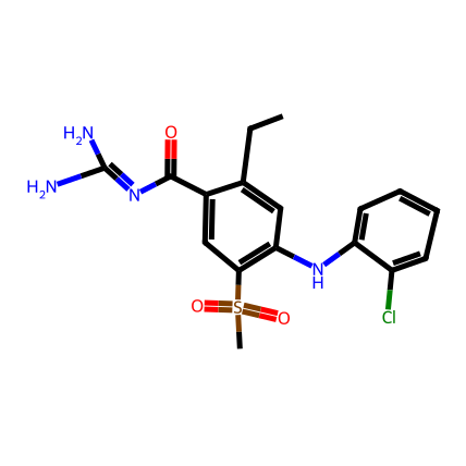 CCc1cc(Nc2ccccc2Cl)c(S(C)(=O)=O)cc1C(=O)N=C(N)N